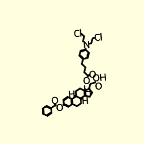 C[C@]12CC[C@@H]3c4ccc(OC(=O)c5ccccc5)cc4CC[C@H]3[C@@H]1CCC2C(OC(=O)CCCc1ccc(N(CCCl)CCCl)cc1)C(=O)O